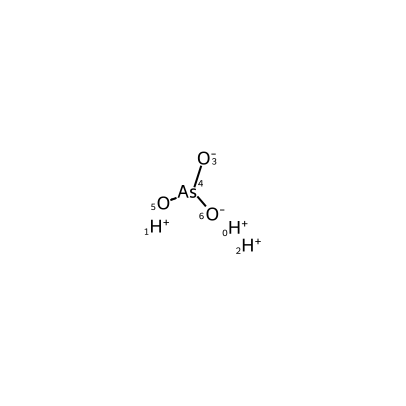 [H+].[H+].[H+].[O-][As]([O-])[O-]